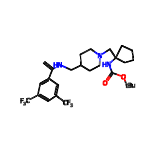 C=C(NCC1CCN(CC2(NC(=O)OC(C)(C)C)CCCC2)CC1)c1cc(C(F)(F)F)cc(C(F)(F)F)c1